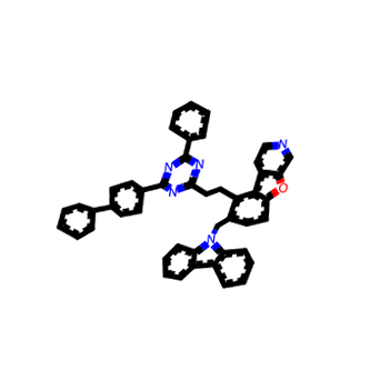 c1ccc(-c2ccc(-c3nc(CCc4c(Cn5c6ccccc6c6ccccc65)ccc5oc6cnccc6c45)nc(-c4ccccc4)n3)cc2)cc1